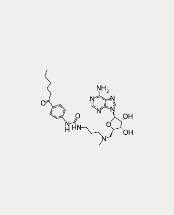 CCCCCC(=O)c1ccc(NC(=O)NCCCN(C)C[C@H]2O[C@@H](n3cnc4c(N)ncnc43)[C@H](O)[C@@H]2O)cc1